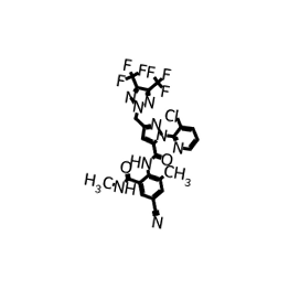 CNC(=O)c1cc(C#N)cc(C)c1NC(=O)c1cc(Cn2nc(C(F)(F)F)c(C(F)(F)F)n2)nn1-c1ncccc1Cl